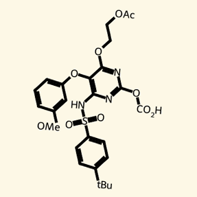 COc1cccc(Oc2c(NS(=O)(=O)c3ccc(C(C)(C)C)cc3)nc(OC(=O)O)nc2OCCOC(C)=O)c1